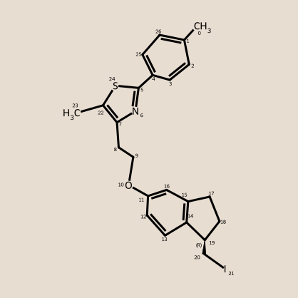 Cc1ccc(-c2nc(CCOc3ccc4c(c3)CC[C@H]4CI)c(C)s2)cc1